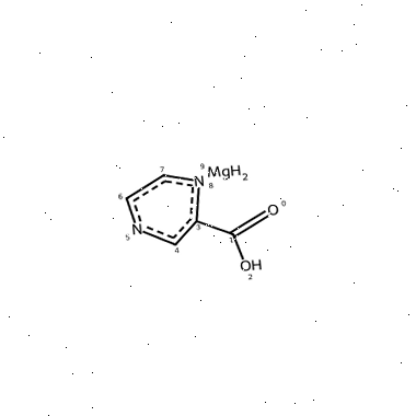 O=C(O)c1cnccn1.[MgH2]